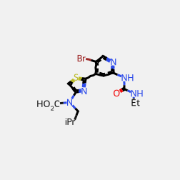 CCNC(=O)Nc1cc(-c2nc(N(CC(C)C)C(=O)O)cs2)c(Br)cn1